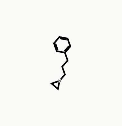 c1ccc(CCCN2CC2)cc1